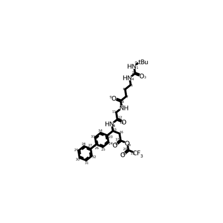 CC(C)(C)NC(=O)NCCCC(=O)NCC(=O)NC(CC(=O)OC(=O)C(F)(F)F)c1ccc(-c2ccccc2)cc1